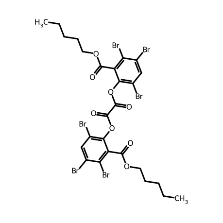 CCCCCOC(=O)c1c(Br)c(Br)cc(Br)c1OC(=O)C(=O)Oc1c(Br)cc(Br)c(Br)c1C(=O)OCCCCC